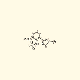 COc1cccc(C2=NC(C(C)C)CO2)c1NS(C)(=O)=O